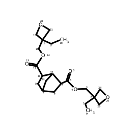 CCC1(COC(=O)C2CC3CC(C(=O)OCC4(CC)COC4)C2C3)COC1